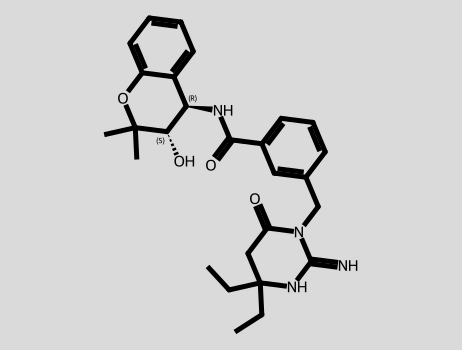 CCC1(CC)CC(=O)N(Cc2cccc(C(=O)N[C@@H]3c4ccccc4OC(C)(C)[C@H]3O)c2)C(=N)N1